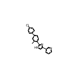 Cc1cc(-c2ccc(Cl)cc2)ccc1-c1nc(-c2cccnc2)c[nH]1